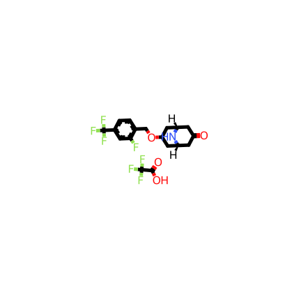 O=C(O)C(F)(F)F.O=C1C[C@@H]2CC(OCc3ccc(C(F)(F)F)cc3F)C[C@H](C1)N2